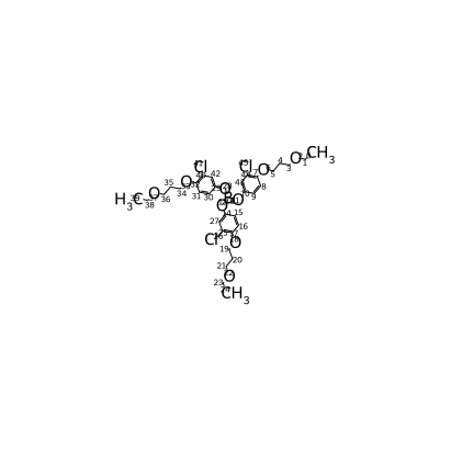 CCOCCCOc1ccc(OB(Oc2ccc(OCCCOCC)c(Cl)c2)Oc2ccc(OCCCOCC)c(Cl)c2)cc1Cl